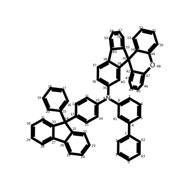 c1ccc(-c2cccc(N(c3ccc(C4(c5ccccc5)c5ccccc5-c5ccccc54)cc3)c3ccc4c(c3)C3(c5ccccc5Oc5ccccc53)c3ccccc3-4)c2)cc1